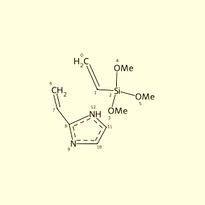 C=C[Si](OC)(OC)OC.C=Cc1ncc[nH]1